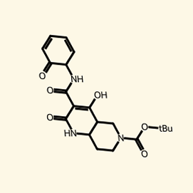 CC(C)(C)OC(=O)N1CCC2NC(=O)C(C(=O)NC3C=CC=CC3=O)=C(O)C2C1